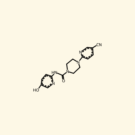 N#Cc1ccc(N2CCN(C(=O)Nc3ccc(O)cn3)CC2)nc1